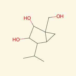 CC(C)C1C(O)C(O)C2(CO)CC12